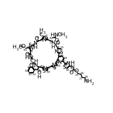 CNC(=O)C[C@@H]1NC(=O)c2csc(n2)-c2ccc(-c3nc(NC(=O)OCCCCN)cs3)nc2-c2csc(n2)-c2csc(n2)[C@H]([C@@H](O)c2ccccc2)NC(=O)CNC(=O)c2nc(sc2COC)NC(=O)c2nc1sc2C